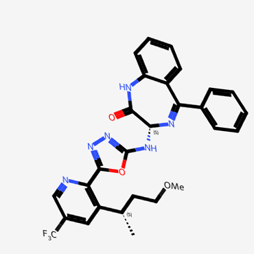 COCC[C@H](C)c1cc(C(F)(F)F)cnc1-c1nnc(N[C@H]2N=C(c3ccccc3)c3ccccc3NC2=O)o1